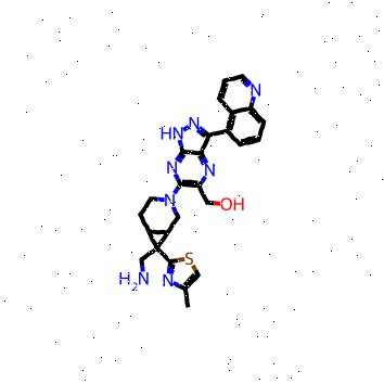 Cc1csc(C2(CN)C3CCN(c4nc5[nH]nc(-c6cccc7ncccc67)c5nc4CO)CC32)n1